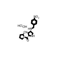 Cl.Cl.N#C[C@@H]1CCCN1C(=O)[C@@H]1C[C@H](NCc2ccc([N+](=O)[O-])cc2)CN1